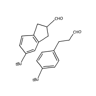 CC(C)(C)c1ccc(CCC=O)cc1.CC(C)(C)c1ccc2c(c1)CC(C=O)C2